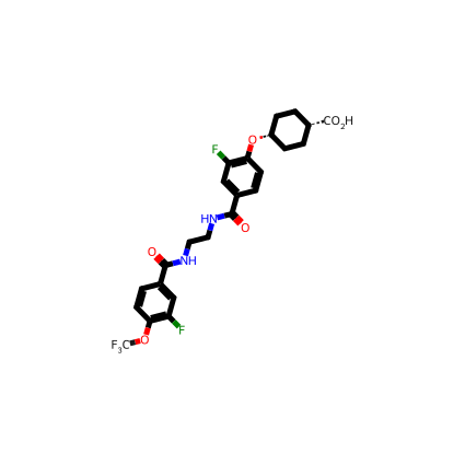 O=C(NCCNC(=O)c1ccc(O[C@H]2CC[C@@H](C(=O)O)CC2)c(F)c1)c1ccc(OC(F)(F)F)c(F)c1